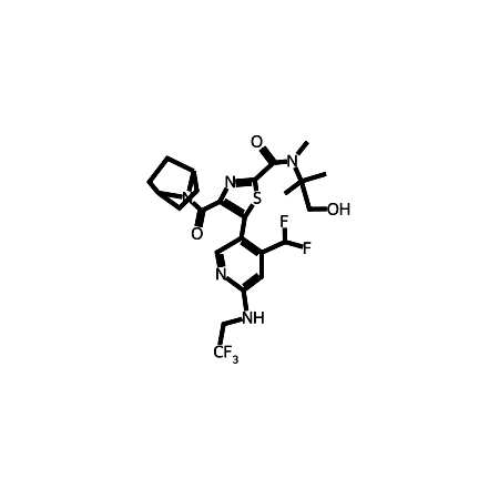 CN(C(=O)c1nc(C(=O)N2C3CCC2CC3)c(-c2cnc(NCC(F)(F)F)cc2C(F)F)s1)C(C)(C)CO